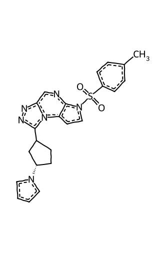 Cc1ccc(S(=O)(=O)n2ccc3c2ncc2nnc(C4CC[C@H](n5cccc5)C4)n23)cc1